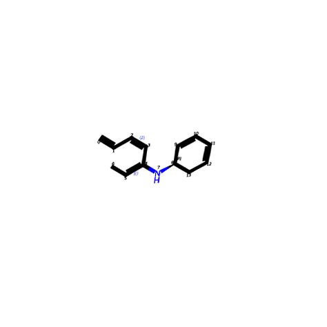 C=C/C=C\C(=C/C)N[C@H]1C=CC=CC1